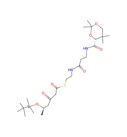 C[C@H](CC(=O)CC(=O)SCCNC(=O)CCNC(=O)[C@@H]1OC(C)(C)OCC1(C)C)O[Si](C)(C)C(C)(C)C